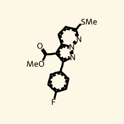 COC(=O)c1c(-c2ccc(F)cc2)nn2nc(SC)ccc12